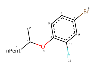 CCCCCC(C)Oc1ccc(Br)cc1F